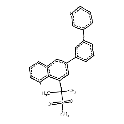 CC(C)(c1cc(-c2cccc(-c3cccnc3)c2)cc2cccnc12)S(C)(=O)=O